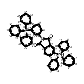 O=C1c2ccc([PH](c3ccccc3)(c3ccccc3)c3ccccc3)cc2C(=O)N1c1cccc([PH](c2ccccc2)(c2ccccc2)c2ccccc2)c1